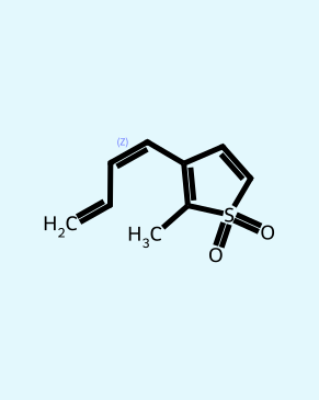 C=C/C=C\C1=C(C)S(=O)(=O)C=C1